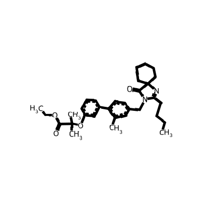 CCCCC1=NC2(CCCCC2)C(=O)N1Cc1ccc(-c2cccc(OC(C)(C)C(=O)OCC)c2)c(C)c1